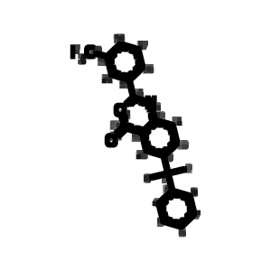 CC(C)(c1ccccc1)c1ccc2nc(-c3cccc(C(F)(F)F)c3)oc(=O)c2c1